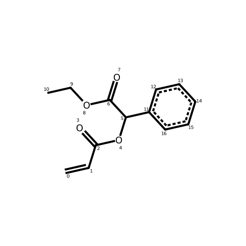 C=CC(=O)OC(C(=O)OCC)c1ccccc1